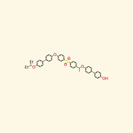 CCC(CC)Oc1ccc(-c2ccc(Oc3ccc(S(=O)(=O)c4ccc(C(C)Oc5ccc(-c6ccc(O)cc6)cc5)cc4)cc3)cc2)cc1